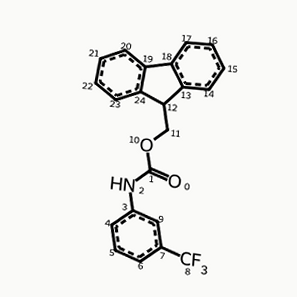 O=C(Nc1cccc(C(F)(F)F)c1)OCC1c2ccccc2-c2ccccc21